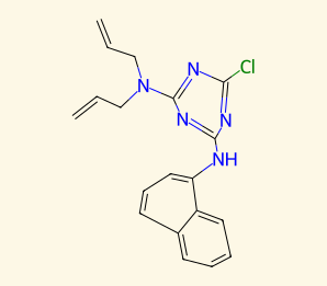 C=CCN(CC=C)c1nc(Cl)nc(Nc2cccc3ccccc23)n1